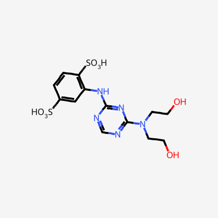 O=S(=O)(O)c1ccc(S(=O)(=O)O)c(Nc2ncnc(N(CCO)CCO)n2)c1